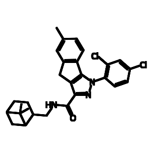 Cc1ccc2c(c1)Cc1c(C(=O)NCC3CCC4CC3C4(C)C)nn(-c3ccc(Cl)cc3Cl)c1-2